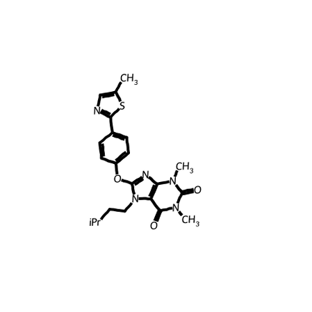 Cc1cnc(-c2ccc(Oc3nc4c(c(=O)n(C)c(=O)n4C)n3CCC(C)C)cc2)s1